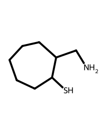 NCC1CCCCCC1S